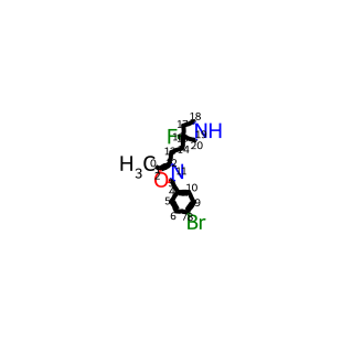 Cc1oc(-c2ccc(Br)cc2)nc1CCC1(F)CCNC1